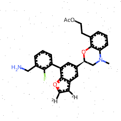 [2H]c1oc2c(-c3cccc(CN)c3F)cc([C@@H]3CN(C)c4cccc(CCOC(C)=O)c4O3)cc2c1[2H]